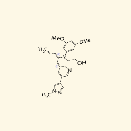 C=C/C=C(\C=C1\C=C(c2cnn(C)c2)C=NC1)N(CCO)c1cc(OC)cc(OC)c1